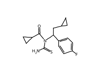 NC(=S)N(C(=O)C1CC1)C(CC1CC1)c1ccc(F)cc1